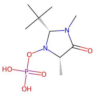 C[C@H]1C(=O)N(C)[C@@H](C(C)(C)C)N1OP(=O)(O)O